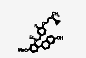 CCN(Cc1ccc(OCCN(C)C2CC2)c(F)c1)c1cc(OC)ccc1C1CCc2cc(O)ccc2C1